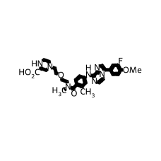 COc1ccc(-c2cnc3c(Nc4ccc(C(=O)N(C)CCOCCN5CCNC(C(=O)O)C5)c(C)c4)nccn23)cc1F